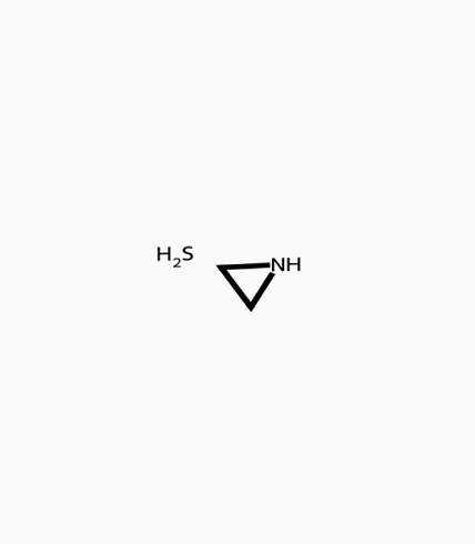 C1CN1.S